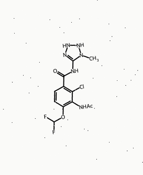 CC(=O)Nc1c(OC(F)F)ccc(C(=O)NC2=NNNN2C)c1Cl